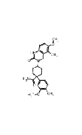 COc1cc(C2(C(N)=O)CCC(N3Cc4c(ccc(OC)c4C)NC3=O)CC2)ccc1C